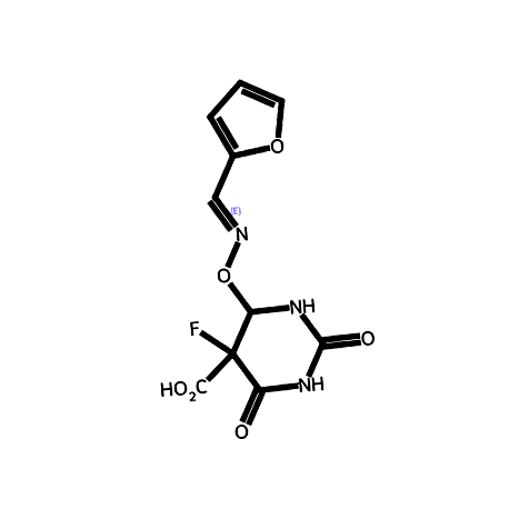 O=C1NC(=O)C(F)(C(=O)O)C(O/N=C/c2ccco2)N1